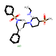 CCN[C@@H]1CC(S(C)(=O)=O)CCN1CC[C@@H](CN(C)S(=O)(=O)c1ccccc1)c1ccccc1.Cl